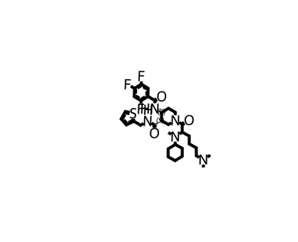 CN(C)CCCCC(C(=O)N1CC[C@@H](NC(=O)c2cc(F)c(F)cc2F)[C@@H](C(=O)NCc2cccs2)C1)N(C)C1CCCCC1